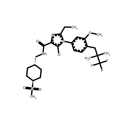 CCc1nc(C(=O)NC[C@H]2CC[C@H](S(C)(=O)=O)CC2)c(Cl)n1-c1ccc(CC(C)(C)C(F)(F)F)c(OC)c1